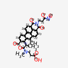 C/C(C(=O)N(C)CCC(=O)O)=c1/c(C=O)ccc2c1c(C)c1ccc3c4c(ccc2c14)C(=O)N(CCC(=O)N=O)C3=O